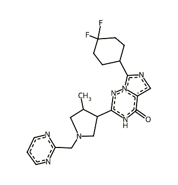 CC1CN(Cc2ncccn2)CC1c1nn2c(C3CCC(F)(F)CC3)ncc2c(=O)[nH]1